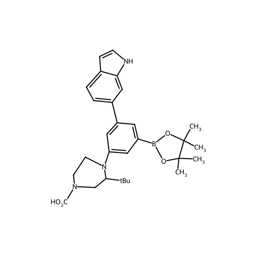 CC(C)(C)C1CN(C(=O)O)CCN1c1cc(B2OC(C)(C)C(C)(C)O2)cc(-c2ccc3cc[nH]c3c2)c1